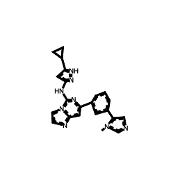 Cn1cncc1-c1cccc(-c2cc3nccn3c(Nc3cc(C4CC4)[nH]n3)n2)c1